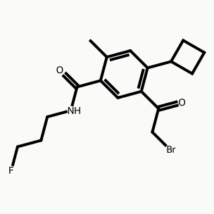 Cc1cc(C2CCC2)c(C(=O)CBr)cc1C(=O)NCCCF